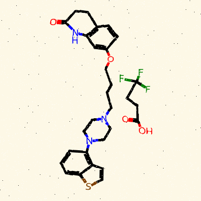 O=C(O)CCC(F)(F)F.O=C1CCc2ccc(OCCCCN3CCN(c4cccc5sccc45)CC3)cc2N1